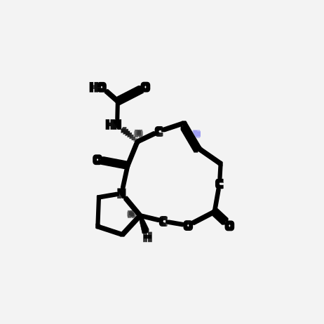 O=C(O)N[C@@H]1C/C=C/CCC(=O)OC[C@@H]2CCCN2C1=O